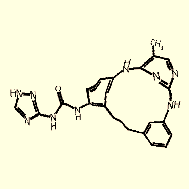 Cc1cnc2nc1Nc1ccc(NC(=O)Nc3nc[nH]n3)c(c1)CCc1cccc(c1)N2